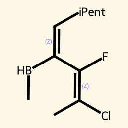 CBC(=C/C(C)CCC)/C(F)=C(\C)Cl